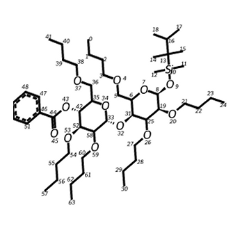 CCCCOCC1O[C@@H](O[Si](C)(C)C(C)(C)C(C)C)[C@@H](OCCCC)C(OCCCC)[C@H]1O[C@H]1OC(COCCCC)[C@@H](OC(=O)c2ccccc2)[C@H](OCCCC)C1OCCCC